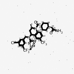 C[C@@H]1CC(N(Cc2cc(Cl)cc(C(F)(F)F)c2)c2nnn(C)n2)c2cc(C(F)(F)F)ccc2N1C(=O)[C@H]1CC[C@H](CC(N)=O)CC1